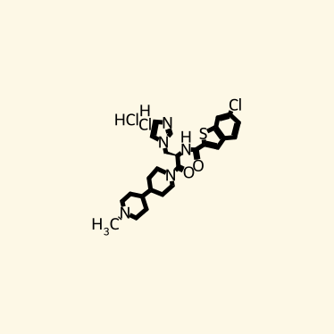 CN1CCC(C2CCN(C(=O)[C@@H](Cn3ccnc3)NC(=O)c3cc4ccc(Cl)cc4s3)CC2)CC1.Cl.Cl